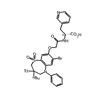 CCCCC1(CC)CN(c2ccccc2)c2cc(Br)c(OCC(=O)N[C@H](Cc3cccnc3)C(=O)O)cc2S(=O)(=O)C1